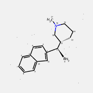 B[C@@H](c1ccc2ccccc2c1)[C@H]1CCCN(C)C1